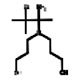 CCC(C)(C)C(C)(N)N(CCCO)CCCO